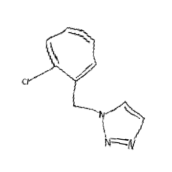 Clc1ccccc1Cn1ccnn1